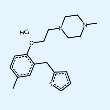 Cc1ccc(OCCN2CCN(C)CC2)c(Cc2cccs2)c1.Cl